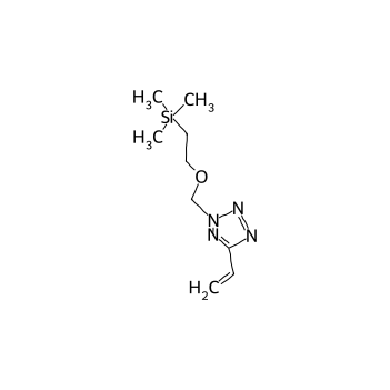 C=Cc1nnn(COCC[Si](C)(C)C)n1